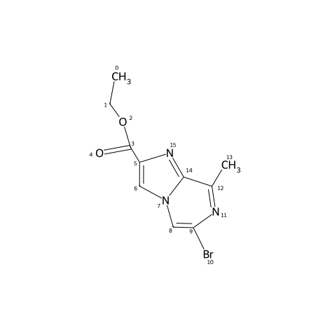 CCOC(=O)c1cn2cc(Br)nc(C)c2n1